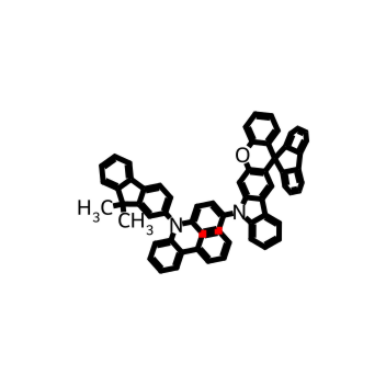 CC1(C)c2ccccc2-c2ccc(N(c3ccc(-n4c5ccccc5c5cc6c(cc54)Oc4ccccc4C64c5ccccc5-c5ccccc54)cc3)c3ccccc3-c3ccccc3)cc21